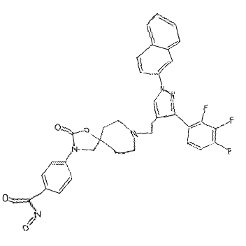 O=NC(=O)c1ccc(N2CC3(CCN(Cc4cn(-c5ccc6ccccc6c5)nc4-c4ccc(F)c(F)c4F)CC3)OC2=O)cc1